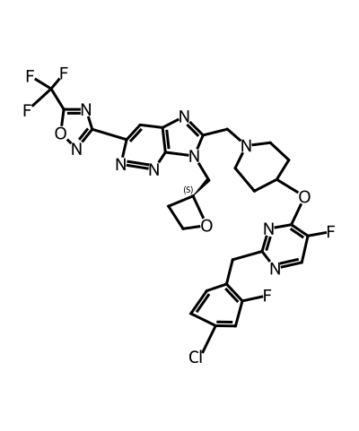 Fc1cc(Cl)ccc1Cc1ncc(F)c(OC2CCN(Cc3nc4cc(-c5noc(C(F)(F)F)n5)nnc4n3C[C@@H]3CCO3)CC2)n1